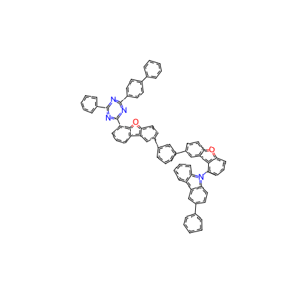 c1ccc(-c2ccc(-c3nc(-c4ccccc4)nc(-c4cccc5c4oc4ccc(-c6cccc(-c7ccc8oc9cccc(-n%10c%11ccccc%11c%11cc(-c%12ccccc%12)ccc%11%10)c9c8c7)c6)cc45)n3)cc2)cc1